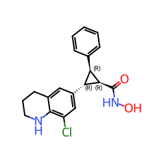 O=C(NO)[C@@H]1[C@H](c2ccccc2)[C@H]1c1cc(Cl)c2c(c1)CCCN2